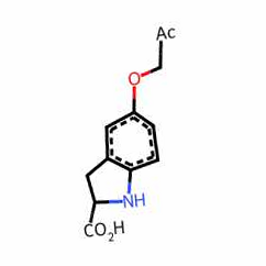 CC(=O)COc1ccc2c(c1)CC(C(=O)O)N2